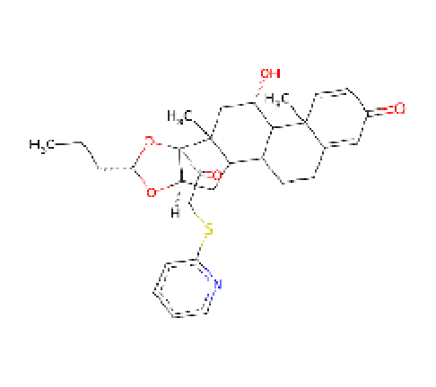 CCC[C@H]1O[C@@H]2CC3C4CCC5=CC(=O)C=CC5(C)C4[C@@H](O)CC3(C)[C@]2(C(=O)CSc2ccccn2)O1